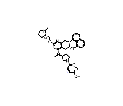 CN(c1nc(OC[C@@H]2CCCN2C)nc2c1CCN(c1cccc3cccc(Cl)c13)C2)C1CCN(C(=O)/C=C\C(=O)O)C1